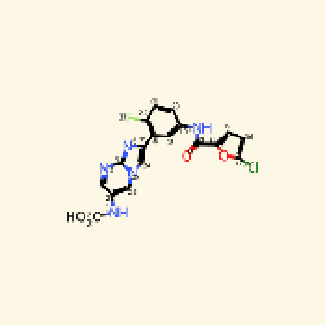 O=C(O)Nc1cnc2nc(-c3cc(NC(=O)c4ccc(Cl)o4)ccc3F)cn2c1